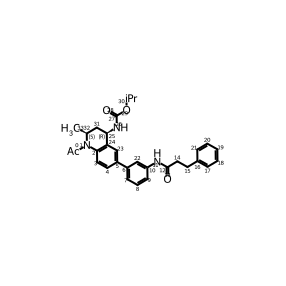 CC(=O)N1c2ccc(-c3cccc(NC(=O)CCc4ccccc4)c3)cc2[C@H](NC(=O)OC(C)C)C[C@@H]1C